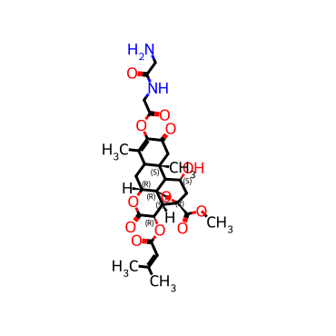 COC(=O)[C@@]12C[C@H](O)C3[C@@]4(C)CC(=O)C(OC(=O)CNC(=O)CN)=C(C)C4C[C@H]4OC(=O)[C@H](OC(=O)C=C(C)C)[C@@H]1[C@@]34CO2